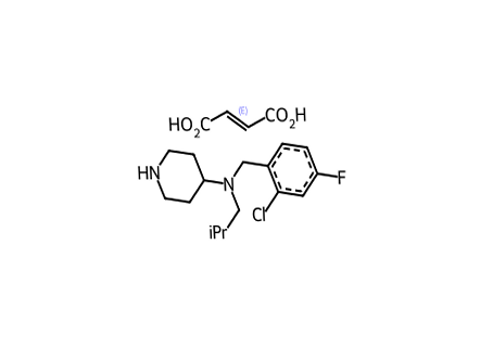 CC(C)CN(Cc1ccc(F)cc1Cl)C1CCNCC1.O=C(O)/C=C/C(=O)O